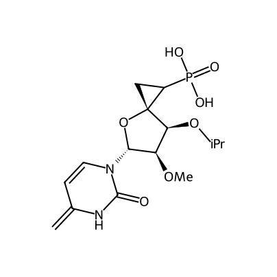 C=C1C=CN([C@@H]2O[C@@]3(CC3P(=O)(O)O)[C@@H](OC(C)C)[C@H]2OC)C(=O)N1